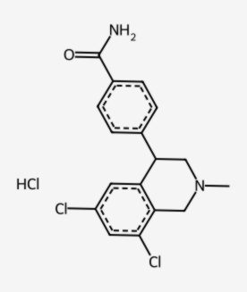 CN1Cc2c(Cl)cc(Cl)cc2C(c2ccc(C(N)=O)cc2)C1.Cl